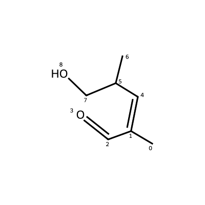 CC(C=O)=CC(C)CO